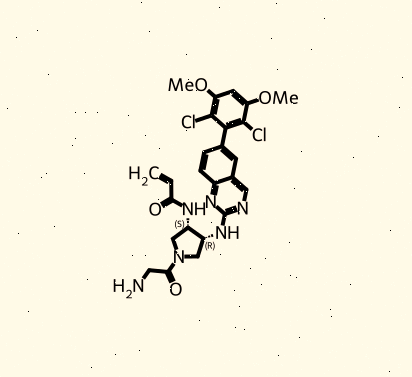 C=CC(=O)N[C@H]1CN(C(=O)CN)C[C@H]1Nc1ncc2cc(-c3c(Cl)c(OC)cc(OC)c3Cl)ccc2n1